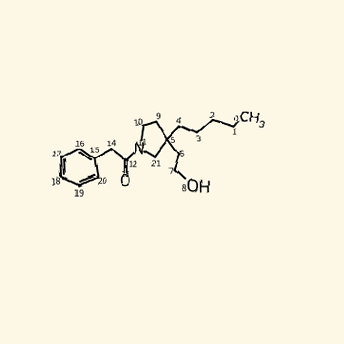 CCCCCC1(CCO)CCN(C(=O)Cc2ccccc2)C1